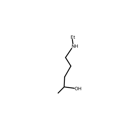 CCNCCCC(C)O